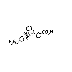 O=C(O)c1cccc(CCc2ccccc2NS(=O)(=O)c2ccc(OC(F)(F)F)cc2)c1